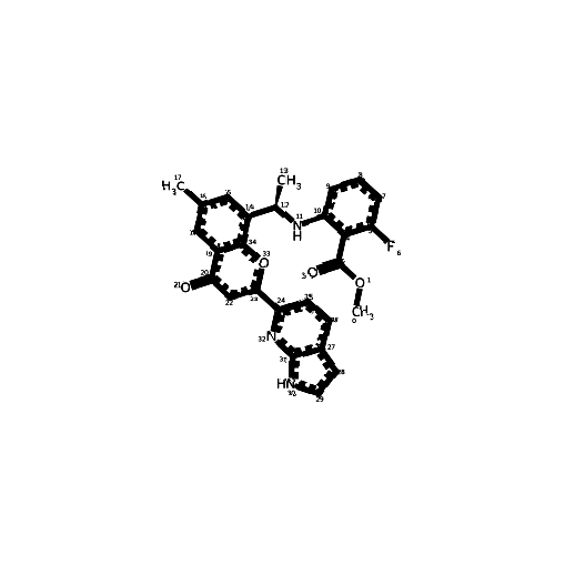 COC(=O)c1c(F)cccc1N[C@H](C)c1cc(C)cc2c(=O)cc(-c3ccc4cc[nH]c4n3)oc12